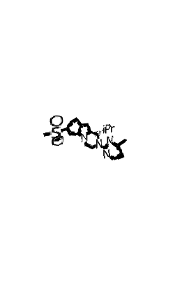 Cc1ccnc(N2CCn3c(cc4ccc(S(C)(=O)=O)cc43)[C@@H]2C(C)C)n1